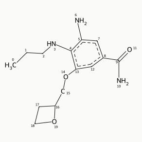 CCCNc1c(N)cc(C(N)=O)cc1OCC1CCO1